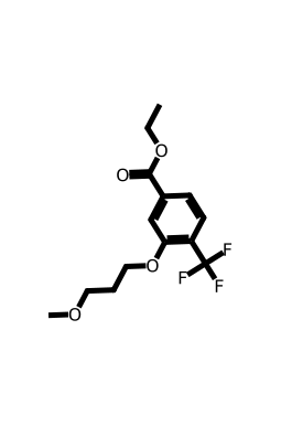 CCOC(=O)c1ccc(C(F)(F)F)c(OCCCOC)c1